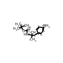 CC(C)(Cc1ccc(N)cc1)NC(=O)OC(C)(C)C